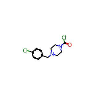 O=C(Cl)N1CCN(Cc2ccc(Cl)cc2)CC1